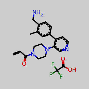 C=CC(=O)N1CCN(c2cnccc2-c2ccc(CN)c(C)c2)CC1.O=C(O)C(F)(F)F